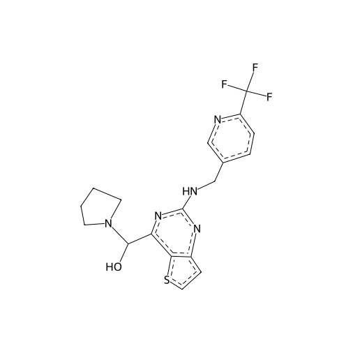 OC(c1nc(NCc2ccc(C(F)(F)F)nc2)nc2ccsc12)N1CCCC1